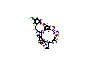 CO[C@]1(c2nccs2)/C=C/C[C@H](C)[C@@H](C)S(=O)(=O)NC(=O)c2ccc3c(c2)N(CCCCc2cc(Cl)ccc2CO3)C[C@@H]2CC[C@H]21